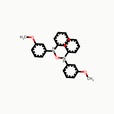 COc1cccc([SiH](O[SiH](c2ccccc2)c2cccc(OC)c2)c2ccccc2)c1